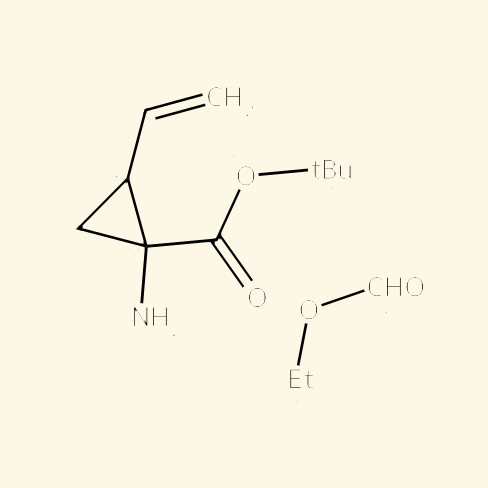 C=CC1CC1(N)C(=O)OC(C)(C)C.CCOC=O